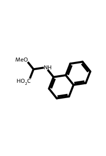 COC(Nc1cccc2ccccc12)C(=O)O